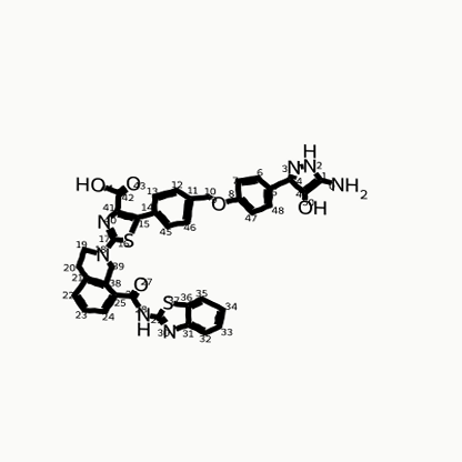 Nc1[nH]nc(-c2ccc(OCc3ccc(-c4sc(N5CCc6cccc(C(=O)Nc7nc8ccccc8s7)c6C5)nc4C(=O)O)cc3)cc2)c1O